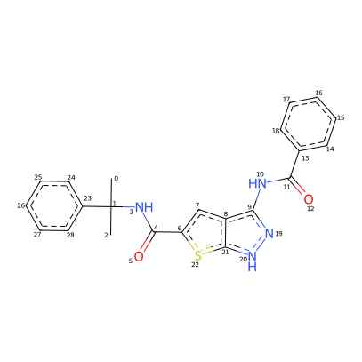 CC(C)(NC(=O)c1cc2c(NC(=O)c3ccccc3)n[nH]c2s1)c1ccccc1